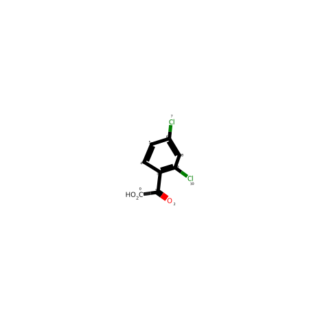 O=C(O)C(=O)c1ccc(Cl)cc1Cl